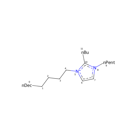 CCCCCCCCCCCCCC[n+]1ccn(CCCCC)c1CCCC